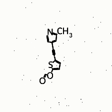 Cc1cc(C#Cc2ccc(OC=O)s2)ccn1